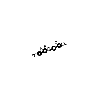 CCOc1ccc(-c2ccc(OCC3CCC(c4ccc(OCC)cc4F)CC3)c(F)c2F)cc1